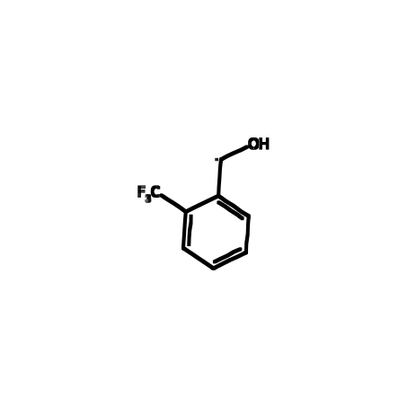 O[CH]c1ccccc1C(F)(F)F